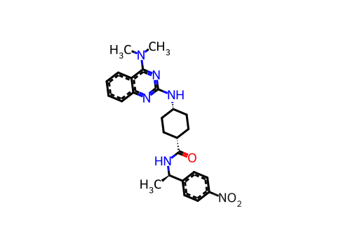 C[C@@H](NC(=O)[C@H]1CC[C@@H](Nc2nc(N(C)C)c3ccccc3n2)CC1)c1ccc([N+](=O)[O-])cc1